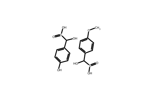 COc1ccc(C(O)S(=O)O)cc1.O=S(O)C(O)c1ccc(O)cc1